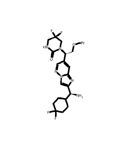 CC(C)OC[C@H](c1cnn2cc([C@@H](N)C3CCC(F)(F)CC3)nc2c1)N1CC(F)(F)CNC1=O